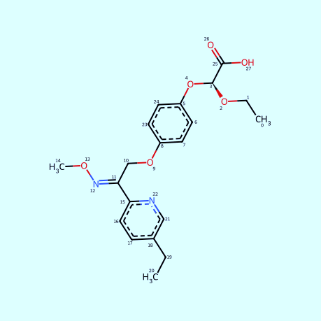 CCO[C@@H](Oc1ccc(OC/C(=N\OC)c2ccc(CC)cn2)cc1)C(=O)O